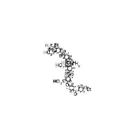 CCOc1ccc(C(=O)c2ccc(Oc3ccc(S(=O)(=O)c4ccc(C(C)(C)Oc5ccc(S(=O)(=O)c6ccc(C(C)(CC)C(C)CC)c(S(=O)(=O)O)c6)cc5S(=O)(=O)O)c(S(=O)(=O)O)c4)cc3S(=O)(=O)O)cc2)cc1